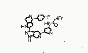 CC(C)CC(=O)Nc1cncc(-c2cc3c(-c4cc5c(-c6ccc(F)cc6)nccc5[nH]4)n[nH]c3cn2)c1